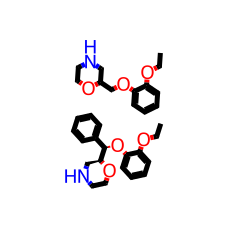 CCOc1ccccc1OCC1CNCCO1.CCOc1ccccc1O[C@@H](c1ccccc1)[C@@H]1CNCCO1